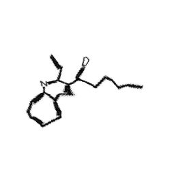 C=Cc1nc2ccccc2cc1C(=O)CCCCC